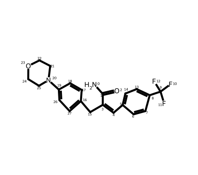 NC(=O)C(=Cc1ccc(C(F)(F)F)cc1)Cc1ccc(N2CCOCC2)cc1